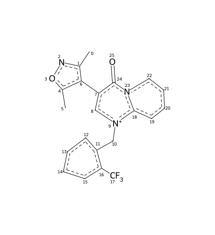 Cc1noc(C)c1-c1c[n+](Cc2ccccc2C(F)(F)F)c2ccccn2c1=O